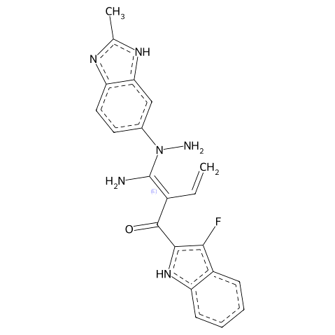 C=C/C(C(=O)c1[nH]c2ccccc2c1F)=C(/N)N(N)c1ccc2nc(C)[nH]c2c1